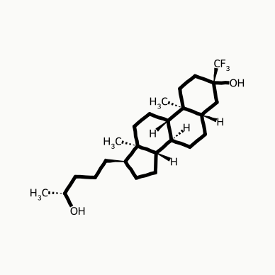 C[C@@H](O)CCC[C@@H]1CC[C@H]2[C@@H]3CC[C@H]4C[C@](O)(C(F)(F)F)CC[C@]4(C)[C@H]3CC[C@]12C